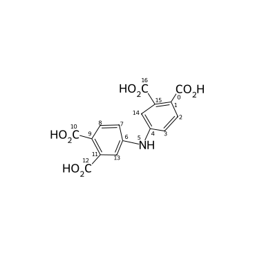 O=C(O)c1ccc(Nc2ccc(C(=O)O)c(C(=O)O)c2)cc1C(=O)O